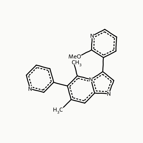 COc1ncccc1-c1cnc2cc(C)c(-c3cccnc3)c(C)n12